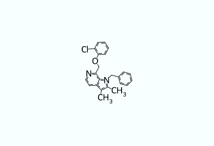 Cc1c(C)n(Cc2ccccc2)c2c(COc3ccccc3Cl)nccc12